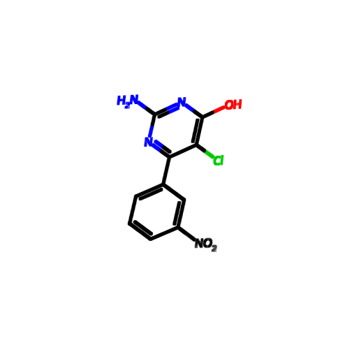 Nc1nc(O)c(Cl)c(-c2cccc([N+](=O)[O-])c2)n1